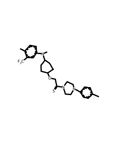 Cc1ccc(N2CCN(C(=S)COC3CCC(N(C)c4ccc(C)c(C(F)(F)F)c4)CC3)CC2)cc1